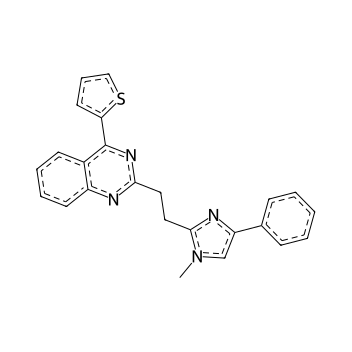 Cn1cc(-c2ccccc2)nc1CCc1nc(-c2cccs2)c2ccccc2n1